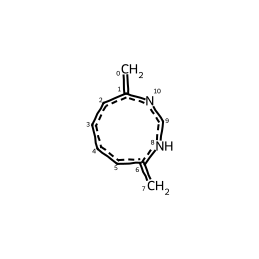 C=c1ccccc(=C)[nH]cn1